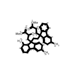 COC(=O)C(C)CC1(CCC2(CC(C)C(=O)OC)C3=CCC(C)C=C3C3=CC=CC(C)C32)C2=CCC(C)C=C2c2ccccc21